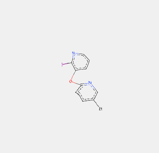 CCc1ccc(Oc2cccnc2I)nc1